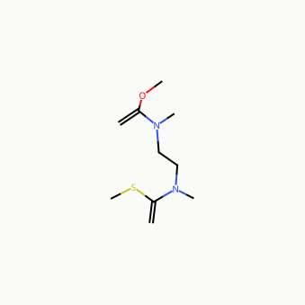 C=C(OC)N(C)CCN(C)C(=C)SC